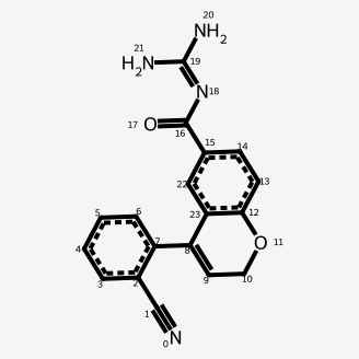 N#Cc1ccccc1C1=CCOc2ccc(C(=O)N=C(N)N)cc21